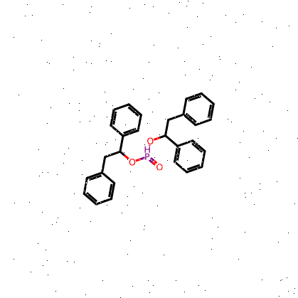 O=[PH](OC(Cc1ccccc1)c1ccccc1)OC(Cc1ccccc1)c1ccccc1